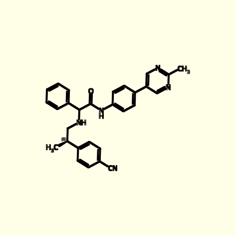 Cc1ncc(-c2ccc(NC(=O)C(NC[C@H](C)c3ccc(C#N)cc3)c3ccccc3)cc2)cn1